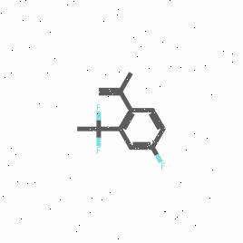 C=C(C)c1ccc(F)cc1C(C)(F)F